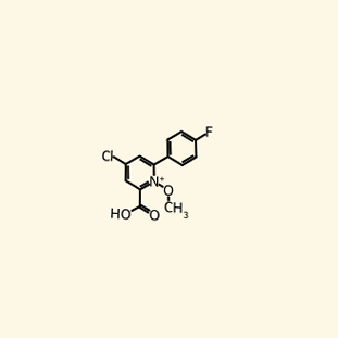 CO[n+]1c(C(=O)O)cc(Cl)cc1-c1ccc(F)cc1